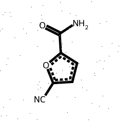 N#Cc1ccc(C(N)=O)o1